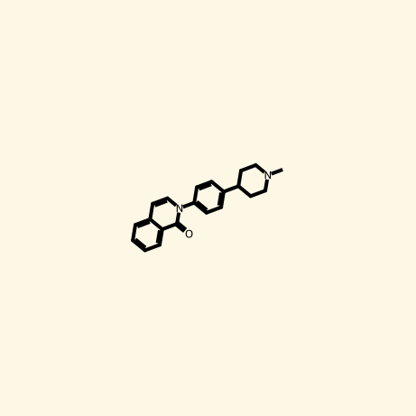 CN1CCC(c2ccc(-n3ccc4ccccc4c3=O)cc2)CC1